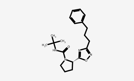 CC(C)(C)NC(=O)N1CCC[C@H]1c1nc(CCCc2ccccc2)no1